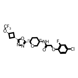 O=C(COc1ccc(Cl)cc1F)N[C@@H]1CC[C@@H](c2nnc([C@H]3C[C@@H](OC(F)(F)F)C3)o2)OC1